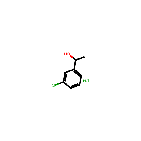 CC(O)c1cccc(Cl)c1.Cl